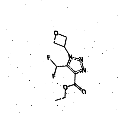 CCOC(=O)c1nnn(C2COC2)c1C(F)F